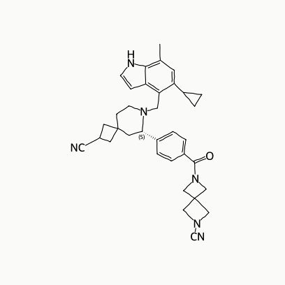 Cc1cc(C2CC2)c(CN2CCC3(CC(C#N)C3)C[C@H]2c2ccc(C(=O)N3CC4(CN(C#N)C4)C3)cc2)c2cc[nH]c12